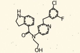 O=C(c1cccc2c1CCN2)N(CCO)c1ccnc(Cc2cc(F)cc(Cl)c2)c1